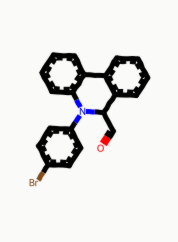 O=CC1c2ccccc2-c2ccccc2N1c1ccc(Br)cc1